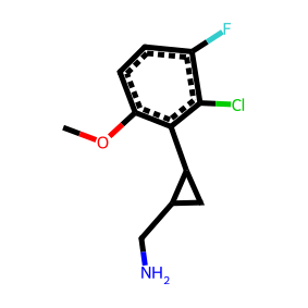 COc1ccc(F)c(Cl)c1C1CC1CN